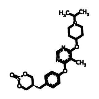 Cc1c(Oc2ccc(C[C@H]3CO[S@@](=O)OC3)cc2)ncnc1OC1CCN(C(C)C)CC1